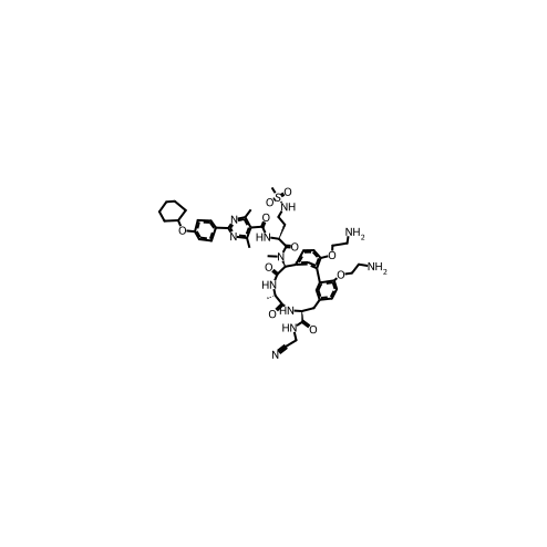 Cc1nc(-c2ccc(OC3CCCCC3)cc2)nc(C)c1C(=O)N[C@@H](CCNS(C)(=O)=O)C(=O)N(C)[C@@H]1C(=O)N[C@@H](C)C(=O)N[C@H](C(=O)NCC#N)Cc2ccc(OCCN)c(c2)-c2cc1ccc2OCCN